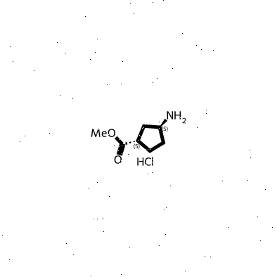 COC(=O)[C@H]1CC[C@H](N)C1.Cl